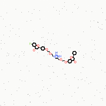 O=c1cc(-c2ccccc2)oc2cc(OCCOCC3=CN(CCOCCOc4ccc(-c5cc(=O)c6cc(F)ccc6o5)cc4)NN3)ccc12